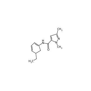 CCC1C=CC=C(NC(=O)c2cc(C)nn2C)C1